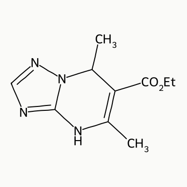 CCOC(=O)C1=C(C)Nc2ncnn2C1C